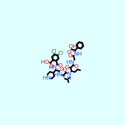 CCCC(NC(=O)[C@H](CC(C)C)NC(=O)[C@@H](NC(=O)c1cc(Cl)c(Cl)cc1C(=O)O)C1CCNCC1)C(=O)C(=O)NCC(=O)N[C@H](C(=O)O)c1ccccc1